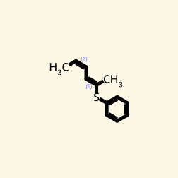 C/C=C\C=C(/C)Sc1ccccc1